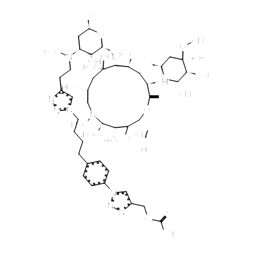 CC[C@H]1OC(=O)[C@H](C)[C@@H](O[C@H]2C[C@@](C)(OC)[C@@H](O)[C@H](C)O2)[C@H](C)[C@@H](O[C@@H]2O[C@H](C)C[C@H](N(C)CCc3cn(CCCCc4ccc(-n5cc(COC(C)=O)nn5)cc4)nn3)[C@H]2O)[C@](C)(O)C[C@@H](C)CN(C)[C@H](C)[C@@H](O)[C@]1(C)O